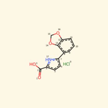 Cl.O=C(O)c1ccc(-c2cccc3c2OCO3)[nH]1